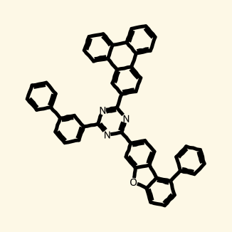 c1ccc(-c2cccc(-c3nc(-c4ccc5c(c4)oc4cccc(-c6ccccc6)c45)nc(-c4ccc5c6ccccc6c6ccccc6c5c4)n3)c2)cc1